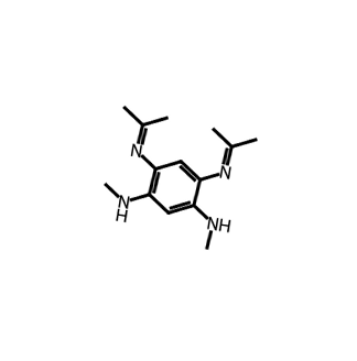 CNc1cc(NC)c(N=C(C)C)cc1N=C(C)C